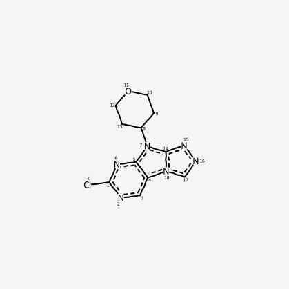 Clc1ncc2c(n1)n(C1CCOCC1)c1nncn21